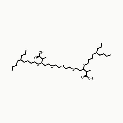 CCCCC(CCC)CCCCSC(CCOCCOCCOCCC(SCCCCC(CCC)CCCC)C(C)C(=O)O)C(C)C(=O)O